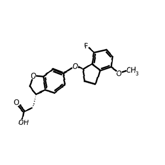 COc1ccc(F)c2c1CC[C@H]2Oc1ccc2c(c1)OC[C@H]2CC(=O)O